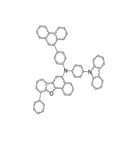 c1ccc(-c2cccc3c2oc2c4ccccc4c(N(c4ccc(-c5cc6ccccc6c6ccccc56)cc4)c4ccc(-n5c6ccccc6c6ccccc65)cc4)cc32)cc1